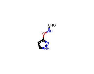 O=CNOc1cc[nH]n1